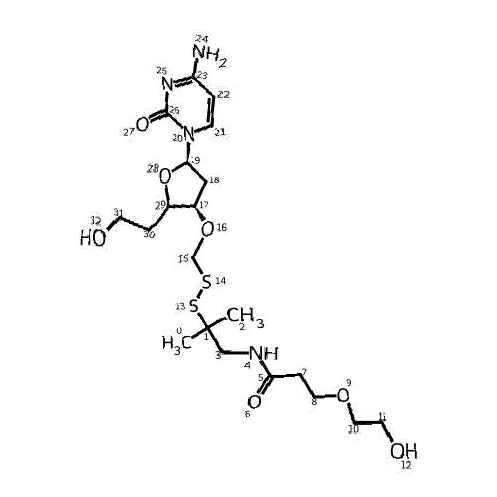 CC(C)(CNC(=O)CCOCCO)SSCO[C@@H]1C[C@H](n2ccc(N)nc2=O)OC1CCO